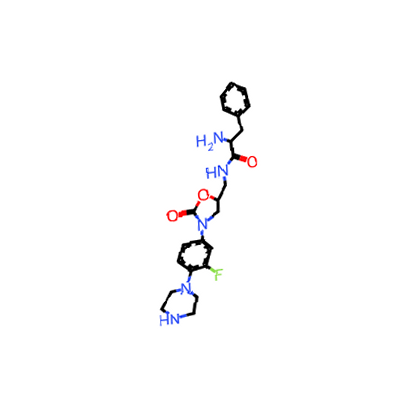 NC(Cc1ccccc1)C(=O)NCC1CN(c2ccc(N3CCNCC3)c(F)c2)C(=O)O1